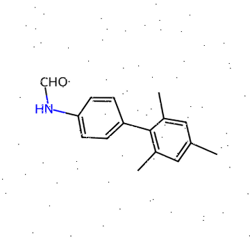 Cc1cc(C)c(-c2ccc(N[C]=O)cc2)c(C)c1